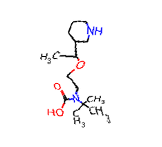 CC(OCCN(C(=O)O)C(C)(C)C)C1CCCNC1